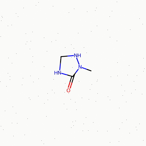 CN1NCNC1=O